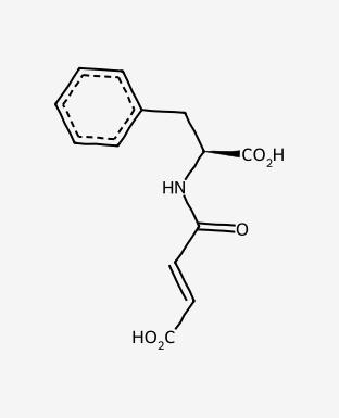 O=C(O)C=CC(=O)N[C@@H](Cc1ccccc1)C(=O)O